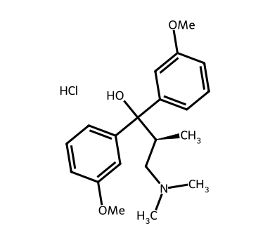 COc1cccc(C(O)(c2cccc(OC)c2)[C@@H](C)CN(C)C)c1.Cl